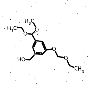 CCOCOc1cc(CO)cc(C(OC)OCC)c1